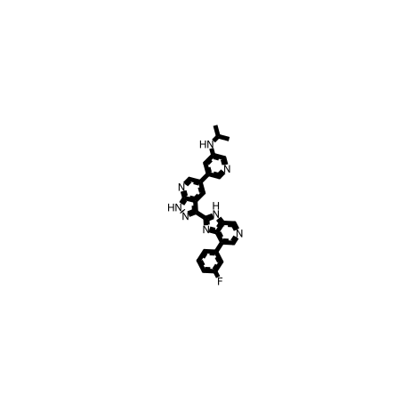 CC(C)Nc1cncc(-c2cnc3[nH]nc(-c4nc5c(-c6cccc(F)c6)cncc5[nH]4)c3c2)c1